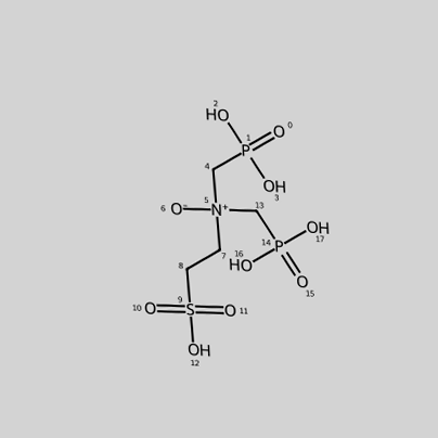 O=P(O)(O)C[N+]([O-])(CCS(=O)(=O)O)CP(=O)(O)O